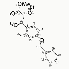 CCO[C@@H](C(=O)OC)[C@H](O)c1ccc(OCc2ccccc2)cc1C